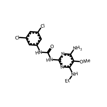 CCNc1nc(NC(=O)Nc2cc(Cl)cc(Cl)c2)nc(N)c1OC